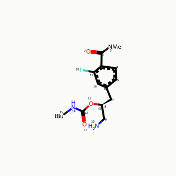 CNC(=O)c1ccc(C[C@@H](CN)OC(=O)NC(C)(C)C)cc1F